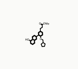 COC(=O)CCc1ccc(OCC2CCCC2)c(-c2ccc3c(O)cccc3c2)c1